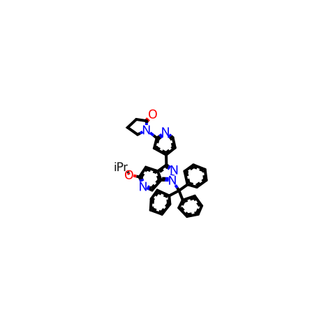 CC(C)Oc1cc2c(-c3ccnc(N4CCCC4=O)c3)nn(C(c3ccccc3)(c3ccccc3)c3ccccc3)c2cn1